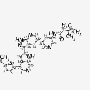 CC(=O)c1ccc(-c2cncc3[nH]c(-c4n[nH]c5ncc(-c6cncc(NC(=O)CC(C)(C)C)c6)cc45)cc23)s1